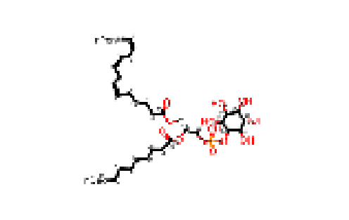 CCCCC/C=C\C/C=C\C/C=C\CCCCC(=O)OC[C@H](COP(=O)(O)OC1C(O)C(O)C(O)[C@@H](O)C1O)OC(=O)CCCCCCCCCCCCCCCCC